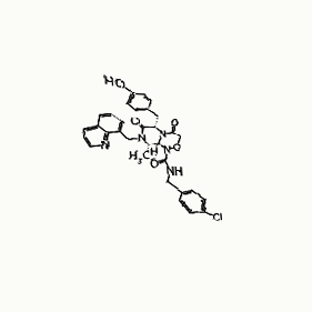 C[C@H]1[C@@H]2N(C(=O)NCc3ccc(Cl)cc3)OCC(=O)N2[C@@H](Cc2ccc(O)cc2)C(=O)N1Cc1cccc2cccnc12